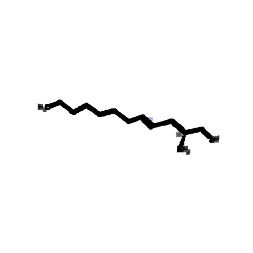 CCCCCCC/C=C/C[C@@H](N)CO